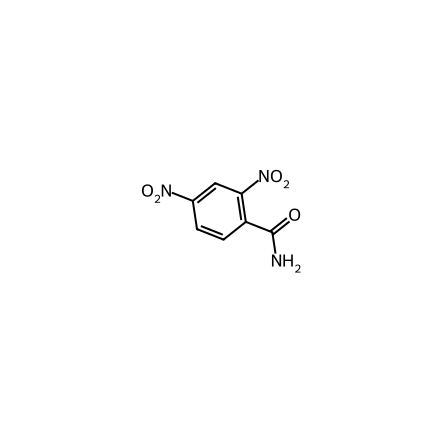 NC(=O)c1ccc([N+](=O)[O-])cc1[N+](=O)[O-]